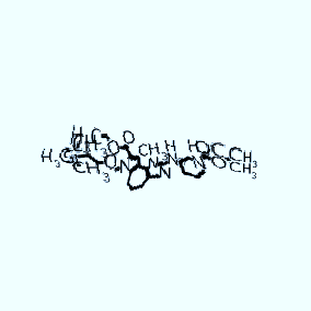 CCOC(=O)c1c(C)c2c(n1COCC[Si](C)(C)C)CCCc1cnc(N[C@H]3CCCN(C(=O)OC(C)(C)C)C3)nc1-2